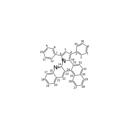 c1ccc(-c2cc(-c3ccccc3)n3c4nc5ccccc5cc4c4c5ccccc5ccc4c23)cc1